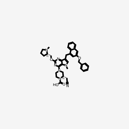 CN1CCC[C@H]1COc1nc(N2CCN(C(=O)O)[C@@H](CC#N)C2)c2c(n1)c(Cc1cc(OCc3ccccc3)cc3ccccc13)cn2C